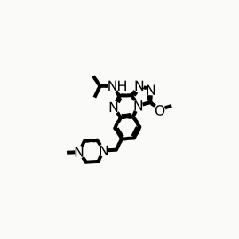 COc1nnc2c(NC(C)C)nc3cc(CN4CCN(C)CC4)ccc3n12